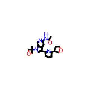 CC(=O)Nc1cc2c(-c3cccc(C4CCOC4)n3)cn(C3(C)COC3)c2cn1